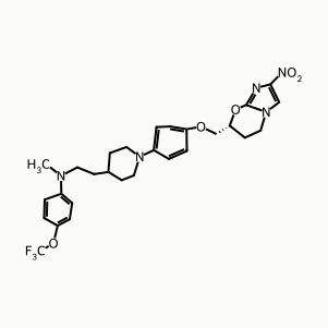 CN(CCC1CCN(c2ccc(OC[C@H]3CCn4cc([N+](=O)[O-])nc4O3)cc2)CC1)c1ccc(OC(F)(F)F)cc1